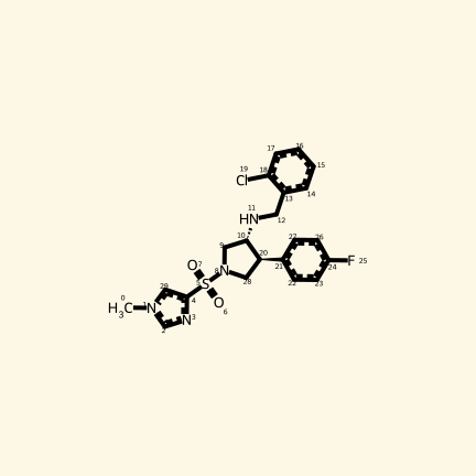 Cn1cnc(S(=O)(=O)N2C[C@H](NCc3ccccc3Cl)[C@@H](c3ccc(F)cc3)C2)c1